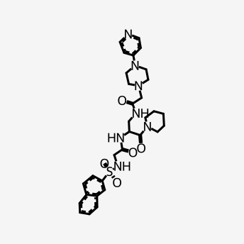 O=C(CN1CCN(c2ccncc2)CC1)NCC(NC(=O)CNS(=O)(=O)c1ccc2ccccc2c1)C(=O)N1CCCCC1